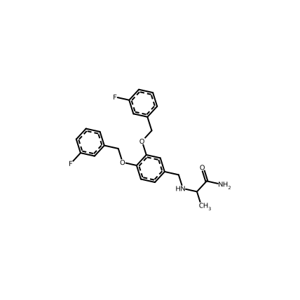 CC(NCc1ccc(OCc2cccc(F)c2)c(OCc2cccc(F)c2)c1)C(N)=O